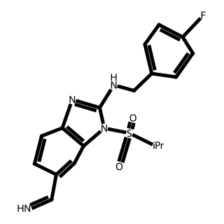 CC(C)S(=O)(=O)n1c(NCc2ccc(F)cc2)nc2ccc(C=N)cc21